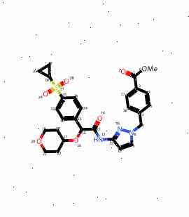 COC(=O)c1ccc(Cn2ccc(NC(=O)C(OC3CCOCC3)c3ccc(S(=O)(=O)C4CC4)cc3)n2)cc1